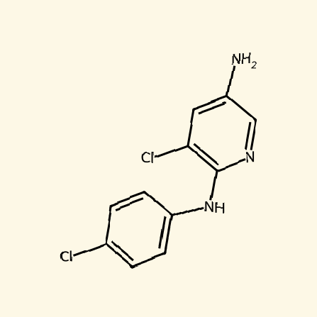 Nc1cnc(Nc2ccc(Cl)cc2)c(Cl)c1